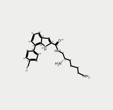 NCCCC[C@H](N)CNC(=O)c1cc2cccc(-c3ccc(F)cc3)c2[nH]1